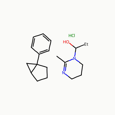 CCC(O)N1CCCN=C1C.Cl.c1ccc(C23CCCC2C3)cc1